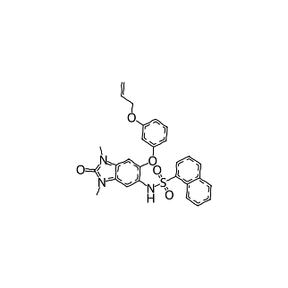 C=CCOc1cccc(Oc2cc3c(cc2NS(=O)(=O)c2cccc4ccccc24)n(C)c(=O)n3C)c1